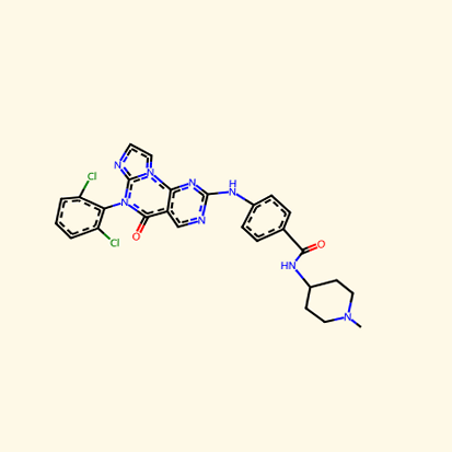 CN1CCC(NC(=O)c2ccc(Nc3ncc4c(=O)n(-c5c(Cl)cccc5Cl)c5nccn5c4n3)cc2)CC1